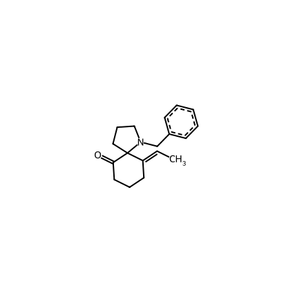 CC=C1CCCC(=O)C12CCCN2Cc1ccccc1